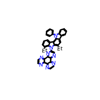 CCc1cccc2c3c(c(CC)cc4c5ccccc5n(-c5ccccc5)c43)n(-c3cnc4c5nccnc5c5nccnc5c4n3)c12